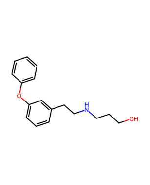 OCCCNCCc1cccc(Oc2ccccc2)c1